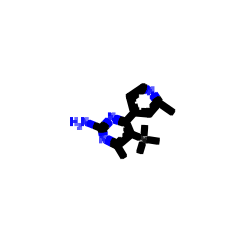 Cc1cc(-c2nc(N)nc(C)c2[Si](C)(C)C)ccn1